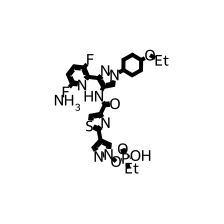 CCOC1CCC(n2cc(NC(=O)c3csc(-c4cnn(OP(=O)(O)CC)c4)n3)c(-c3nc(F)ccc3F)n2)CC1.N